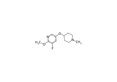 COc1ncc(OC2CCN(C)CC2)cc1F